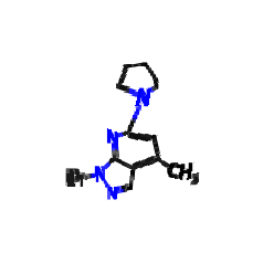 Cc1cc(N2CCCC2)nc2c1cnn2C(C)C